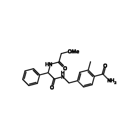 COCC(=O)NC(C(=O)NCc1ccc(C(N)=O)c(C)c1)c1ccccc1